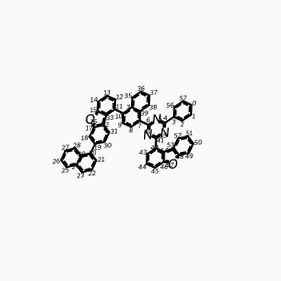 c1ccc(-c2nc(-c3ccc(-c4cccc5oc6cc(-c7cccc8ccccc78)ccc6c45)c4ccccc34)nc(-c3cccc4oc5ccccc5c34)n2)cc1